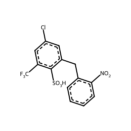 O=[N+]([O-])c1ccccc1Cc1cc(Cl)cc(C(F)(F)F)c1S(=O)(=O)O